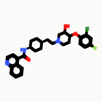 O=C(N[C@H]1CC[C@H](CCN2CCC(Oc3ccc(F)cc3Cl)C(O)C2)CC1)c1ccnc2ccccc12